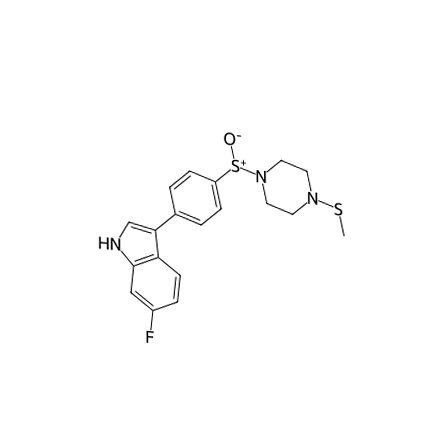 CSN1CCN([S+]([O-])c2ccc(-c3c[nH]c4cc(F)ccc34)cc2)CC1